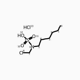 CCCCCCN(CCl)S(=O)(=O)O.Cl